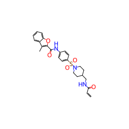 C=CC(=O)NCC1CCN(S(=O)(=O)c2ccc(NC(=O)c3oc4ccccc4c3C)cc2)CC1